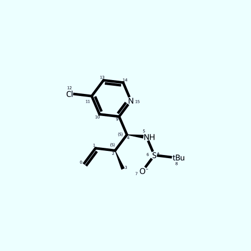 C=C[C@H](C)[C@H](N[S+]([O-])C(C)(C)C)c1cc(Cl)ccn1